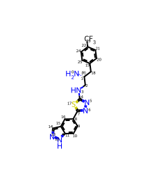 N[C@@H](CNc1nnc(-c2ccc3[nH]ncc3c2)s1)Cc1ccc(C(F)(F)F)cc1